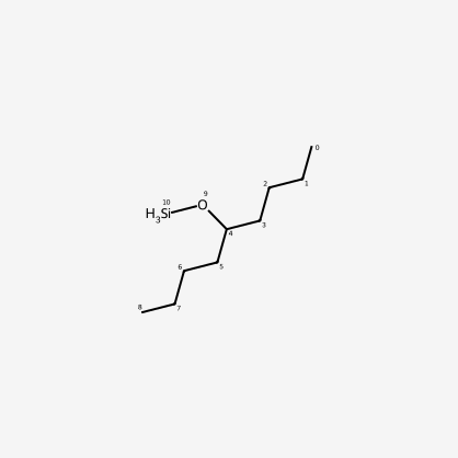 CCCCC(CCCC)O[SiH3]